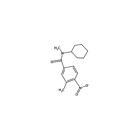 Cc1cc(C(=O)N(C)C2CCCCC2)ccc1[N+](=O)[O-]